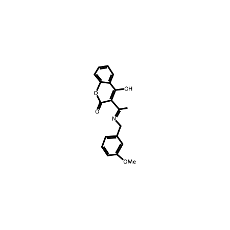 COc1cccc(C/N=C(\C)c2c(O)c3ccccc3oc2=O)c1